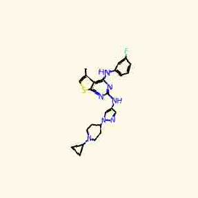 Cc1csc2nc(Nc3cnn(C4CCN(C5CC5)CC4)c3)nc(Nc3cccc(F)c3)c12